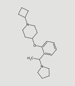 [CH2]C(c1ccccc1OC1CCN(C2CCC2)CC1)N1CCCC1